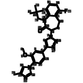 COc1cc(-c2cn(C3CCc4c(F)cccc4N(CC(C)(C)C)C3=O)nn2)ccc1-n1cnc(C)c1